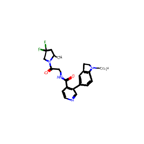 N#CC1CC(F)(F)CN1C(=O)CNC(=O)c1ccncc1-c1ccc2c(c1)CCN2C(=O)O